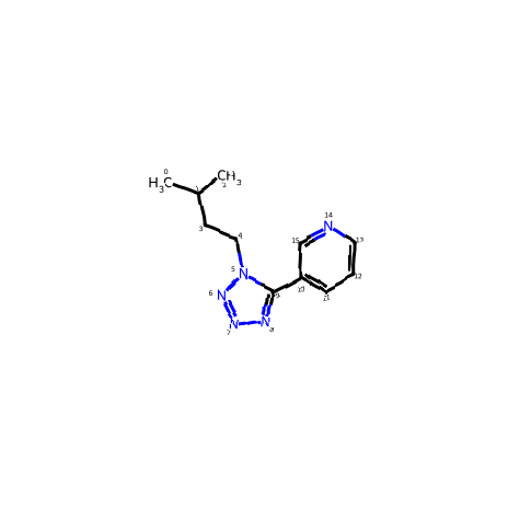 CC(C)CCn1nnnc1-c1cccnc1